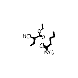 CCCCC(N)=O.CCOC(=O)C(O)CC